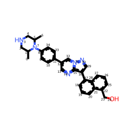 CC1CNCC(C)N1c1ccc(-c2cnc3c(-c4cccc5c(CO)cccc45)cnn3c2)cc1